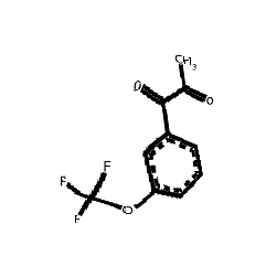 CC(=O)C(=O)c1cccc(OC(F)(F)F)c1